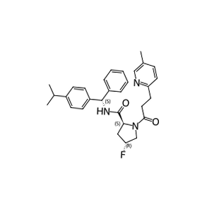 Cc1ccc(CCC(=O)N2C[C@H](F)C[C@H]2C(=O)N[C@@H](c2ccccc2)c2ccc(C(C)C)cc2)nc1